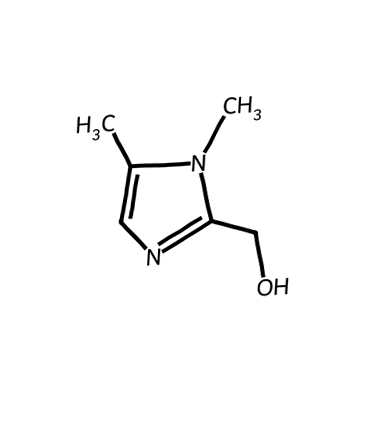 Cc1cnc(CO)n1C